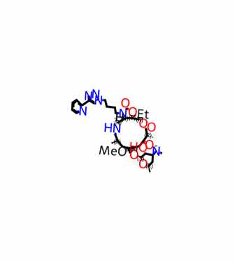 CC[C@H]1OC(=O)[C@H](C)C(=O)C[C@@H](O[C@@H]2O[C@H](C)CC(N(C)C)C2O)[C@](C)(OC)C[C@@H](C)CN[C@H](C)[C@H]2N(CCCCn3cc(-c4ccccn4)nn3)C(=O)O[C@]12C